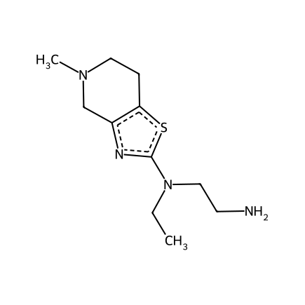 CCN(CCN)c1nc2c(s1)CCN(C)C2